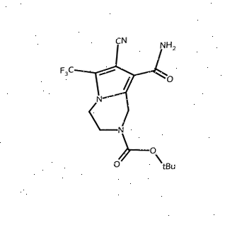 CC(C)(C)OC(=O)N1CCn2c(c(C(N)=O)c(C#N)c2C(F)(F)F)C1